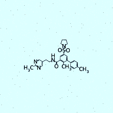 Cc1ccc(-c2cc(S(=O)(=O)N3CCCC3)cc(C(=O)NCCc3cnc(C)nc3)c2C)cc1